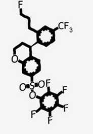 O=S(=O)(Oc1c(F)c(F)c(F)c(F)c1F)c1ccc2c(c1)OCC[C@H]2c1ccc(C(F)(F)F)cc1CCCF